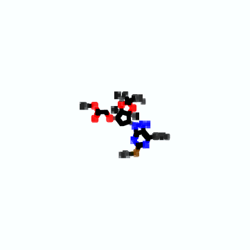 CCCSc1nc(OC)c2[nH]n([C@@H]3C[C@H](OCC(=O)OC(C)C)[C@H]4OC(C)(C)O[C@H]43)c2n1